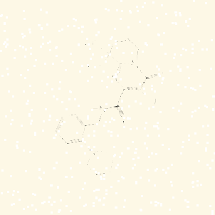 CC1(C)OCCn2c1nc(C(=O)NCc1ccccc1N1CCCCC1)c(O)c2=O